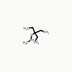 CCC(CC)(CC)OPC